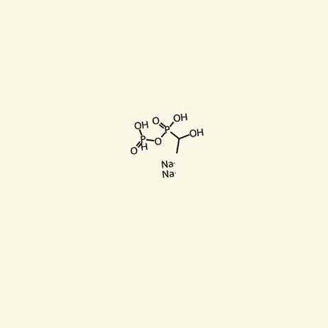 CC(O)P(=O)(O)O[PH](=O)O.[Na].[Na]